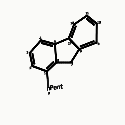 CCCCCc1cccc2c1[CH]c1ccccc1-2